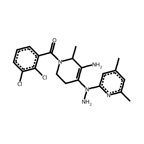 Cc1cc(C)nc(N(N)C2=C(N)C(C)N(C(=O)c3cccc(Cl)c3Cl)CC2)c1